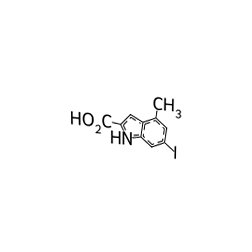 Cc1cc(I)cc2[nH]c(C(=O)O)cc12